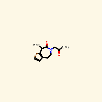 CNC1C(=O)N(CC(=O)OC)CCc2ccsc21